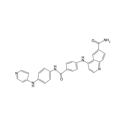 NC(=O)c1ccc2nccc(Nc3ccc(C(=O)Nc4ccc(Nc5ccncc5)cc4)cc3)c2c1